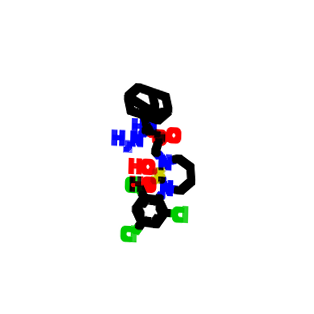 NC(=O)C12CC3CC(C1)C(NC(=O)CN1CCCCN(c4c(Cl)cc(Cl)cc4Cl)S1(O)O)C(C3)C2